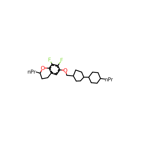 CCCC1CCC(C2CCC(COc3cc4c(c(F)c3F)OC(CCC)CC4)CC2)CC1